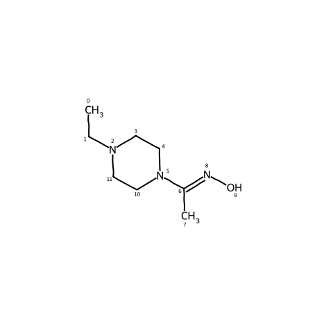 CCN1CCN(C(C)=NO)CC1